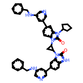 O=c1[nH]c2ccc(-c3cncc(NCc4ccccc4)c3)cc2n1C1CC1n1c(=O)n(C2CCCC2)c2cc(-c3cncc(NCc4ccccc4)c3)ccc21